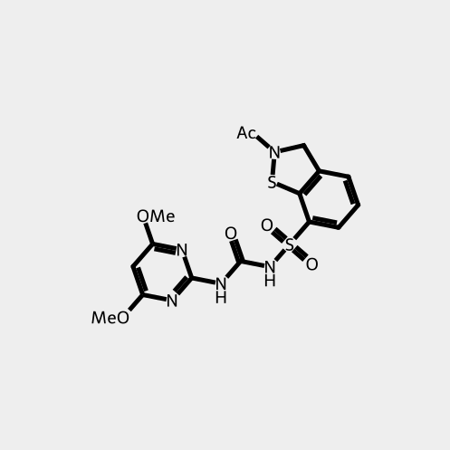 COc1cc(OC)nc(NC(=O)NS(=O)(=O)c2cccc3c2SN(C(C)=O)C3)n1